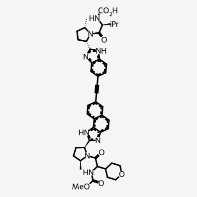 COC(=O)NC(C(=O)N1[C@@H](C)CC[C@H]1c1nc2ccc3cc(C#Cc4ccc5[nH]c([C@@H]6CC[C@H](C)N6C(=O)[C@@H](NC(=O)O)C(C)C)nc5c4)ccc3c2[nH]1)C1CCOCC1